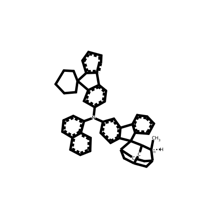 C[C@H]1C2CCC3CC(C2)CC1C31c2ccccc2-c2cc(N(c3ccc4c(c3)C3(CCCCC3)c3ccccc3-4)c3cccc4ccccc34)ccc21